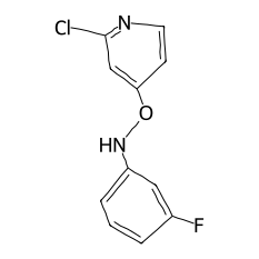 Fc1cccc(NOc2ccnc(Cl)c2)c1